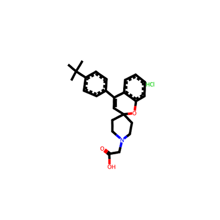 CC(C)(C)c1ccc(C2=CC3(CCN(CC(=O)O)CC3)Oc3ccccc32)cc1.Cl